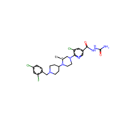 CC[C@H]1CN(c2ncc(C(=O)NNC(N)=O)cc2Cl)CCN1C1CCN(Cc2ccc(Cl)cc2F)CC1